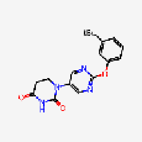 CC(C)(C)c1cccc(Oc2ncc(N3CCC(=O)NC3=O)cn2)c1